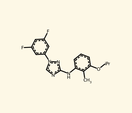 Cc1c(Nc2ncn(-c3cc(F)cc(F)c3)n2)cccc1OC(C)C